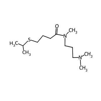 CC(C)SCCCC(=O)N(C)CCCN(C)C